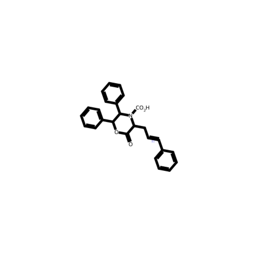 O=C1OC(c2ccccc2)C(c2ccccc2)N(C(=O)O)C1C/C=C/c1ccccc1